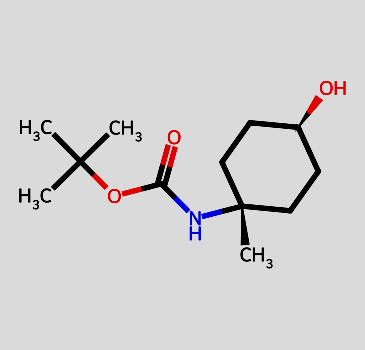 CC(C)(C)OC(=O)N[C@]1(C)CC[C@@H](O)CC1